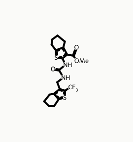 COC(=O)c1c(NC(=O)NCc2c(C(F)(F)F)sc3c2CCCC3)sc2c1CCCC2